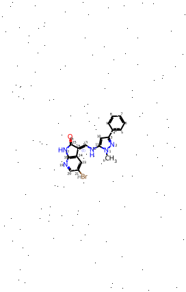 Cn1nc(-c2ccccc2)cc1N/C=C1/C(=O)Nc2ncc(Br)cc21